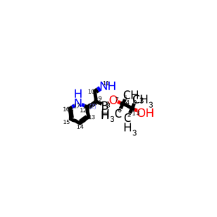 CC(C)(O)C(C)(C)OB/C(C=N)=C1\C=CC=CN1